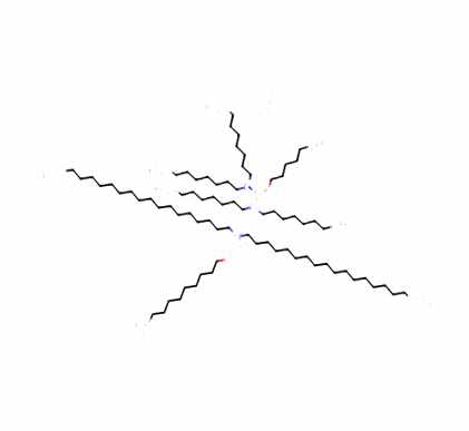 CCCCCCCCCCCCCCCCCC[N](CCCCCCCCCCCCCCCCCC)[Ti+2][O]CCCCCCCCCC.CCCCCCCC[N](CCCCCCCC)[Ti+]([O]CCCCCC)[N](CCCCCCCC)CCCCCCCC.[Cl-].[Cl-].[Cl-]